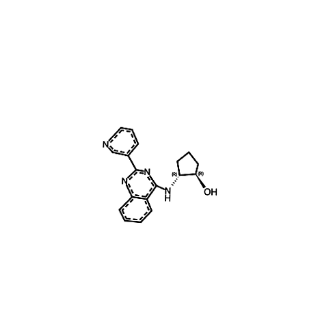 O[C@@H]1CCC[C@H]1Nc1nc(-c2cccnc2)nc2ccccc12